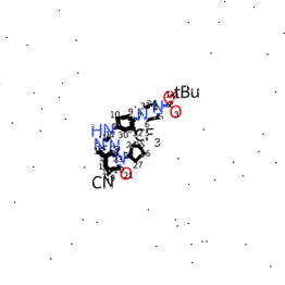 CC(C)(C)OC(=O)N1CCN(c2ccc(Nc3ncc4cc(C#N)c(=O)n(C5CCCC5)c4n3)cc2C(F)(F)F)CC1